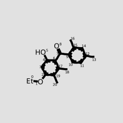 CCOc1cc(O)c(C(=O)c2ccc(C)cc2C)c(C)c1C